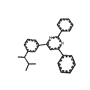 CC(C)C(C)c1cccc(-c2cc(-c3ccccc3)nc(-c3ccccc3)n2)c1